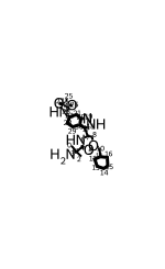 CC(C)(N)C(=O)NC(COCc1ccccc1)c1[nH]nc2cc(NS(C)(=O)=O)ccc12